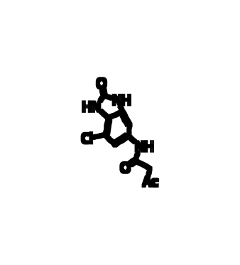 CC(=O)CC(=O)Nc1cc(Cl)c2[nH]c(=O)[nH]c2c1